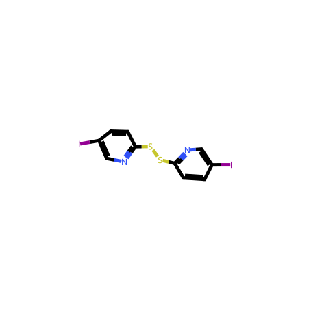 Ic1ccc(SSc2ccc(I)cn2)nc1